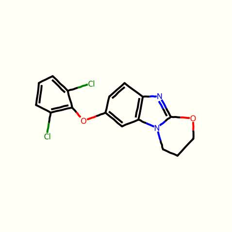 Clc1cccc(Cl)c1Oc1ccc2nc3n(c2c1)CCCO3